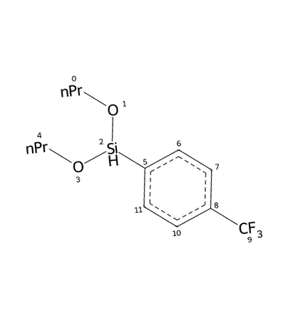 CCCO[SiH](OCCC)c1ccc(C(F)(F)F)cc1